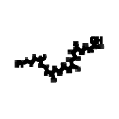 CC(C)CCCC(C)CCCC(C)CCCCC(C)CCCC(C)CCCC(C)O